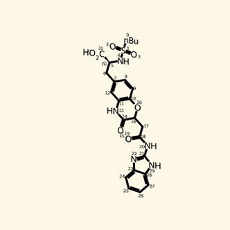 CCCCS(=O)(=O)N[C@@H](Cc1ccc2c(c1)NC(=O)C(CC(=O)Nc1nc3ccccc3[nH]1)O2)C(=O)O